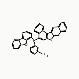 Cc1cccc(N(c2cc3sc4cc5ccccc5cc4c3c3ccccc23)c2cccc3c2oc2ccccc23)c1